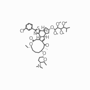 CC[C@H]1CCC[C@H](O[C@H]2CC[C@H](N(C)C)C(C)O2)[C@@H](C)C(=O)C2=C[C@@H]3C(c4nc(-c5cccc(Cl)c5)sc4[C@@H]4C[C@@H](OC(OC)C(OC)C(OC)C(OC)C(C)C)C[C@@H]34)[C@@H]2CC(=O)O1